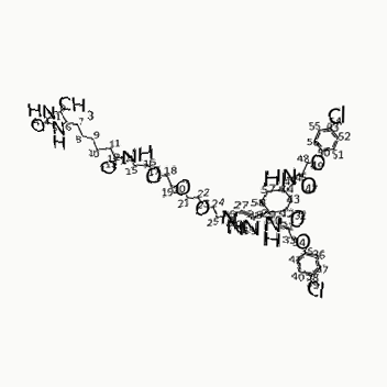 C[C@@H]1NC(=O)N[C@@H]1CCCCCC(=O)NCCOCCOCCOCCn1cc([C@]2(NC(=O)COc3ccc(Cl)cc3)CC[C@H](NC(=O)COc3ccc(Cl)cc3)CC2)nn1